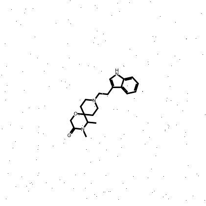 CC1N(C)C(=O)COC12CCN(CCc1c[nH]c3ccccc13)CC2